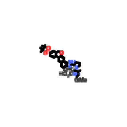 COCCC(C)C(C=O)(NC(=O)O)N1CCCC1c1nc2ccc3cc4c(cc3c2[nH]1)OCc1cc(B2OC(C)(C)C(C)(C)O2)ccc1-4